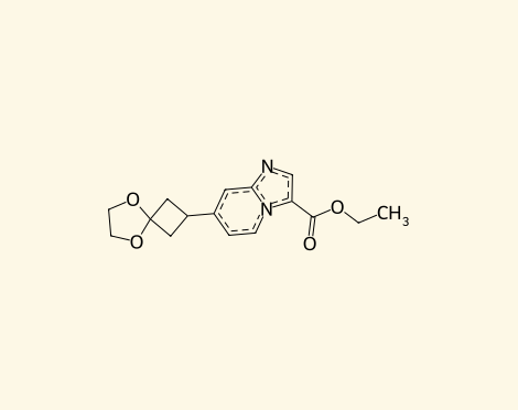 CCOC(=O)c1cnc2cc(C3CC4(C3)OCCO4)ccn12